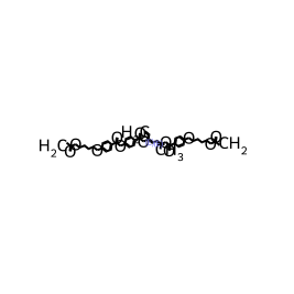 C=CC(=O)OCCCCOc1ccc(C(=O)O/C(C)=C/C=C(\C=C)OC(=O)c2ccc(OC(=O)c3ccc(OCCCCOC(=O)C=C)cc3)cc2)cc1